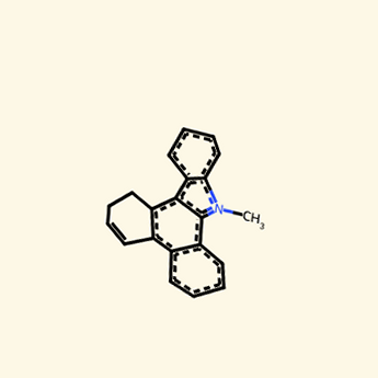 Cn1c2ccccc2c2c3c(c4ccccc4c21)C=CCC3